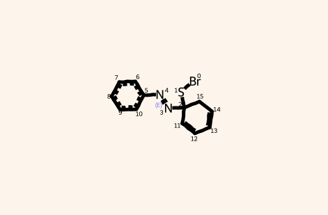 BrSC1(/N=N/c2ccccc2)C=CC=CC1